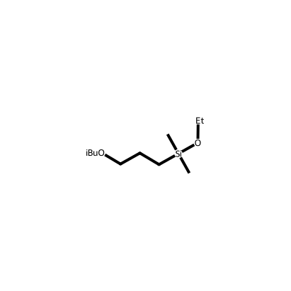 CCO[Si](C)(C)CCCOCC(C)C